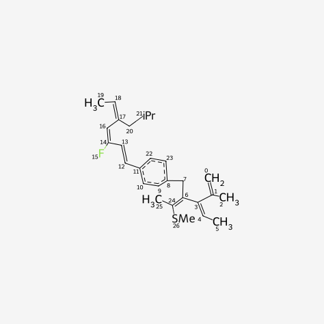 C=C(C)C(=C\C)/C(Cc1ccc(/C=C/C(F)=C\C(=C/C)CC(C)C)cc1)=C(/C)SC